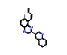 C=C/C=C\c1c(C)ccc2ncc(-c3cnc4ccccc4c3)nc12